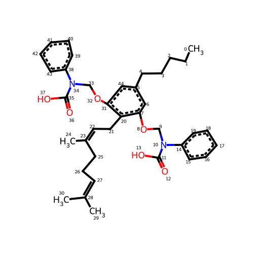 CCCCCc1cc(OCN(C(=O)O)c2ccccc2)c(CC=C(C)CCC=C(C)C)c(OCN(C(=O)O)c2ccccc2)c1